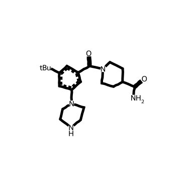 CC(C)(C)c1cc(C(=O)N2CCC(C(N)=O)CC2)cc(N2CCNCC2)c1